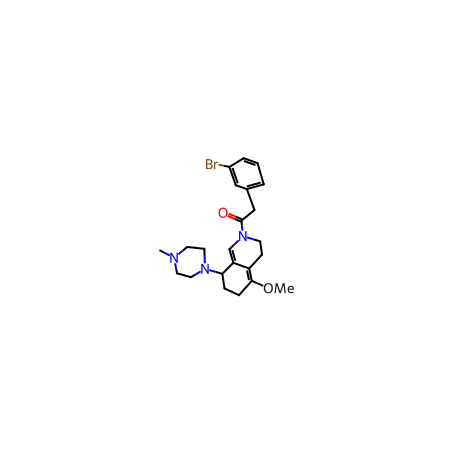 COC1=C2CCN(C(=O)Cc3cccc(Br)c3)C=C2C(N2CCN(C)CC2)CC1